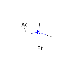 CC[N+](C)(C)CC(C)=O